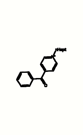 CCCCCCC[n+]1ccc(C(=O)c2ccccc2)cc1